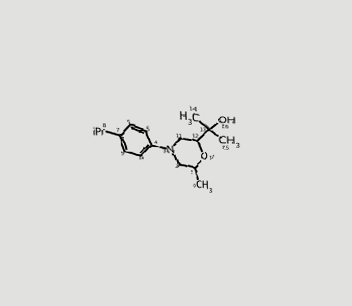 CC1CN(c2ccc(C(C)C)cc2)CC(C(C)(C)O)O1